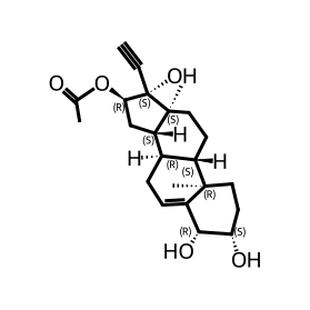 C#C[C@]1(O)[C@H](OC(C)=O)C[C@H]2[C@@H]3CC=C4[C@@H](O)[C@@H](O)CC[C@]4(C)[C@H]3CC[C@@]21C